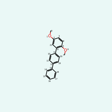 COc1ccc(OC)c(-c2ccc(-c3ccccc3)cc2)c1